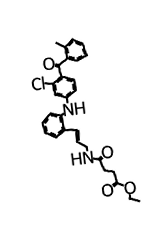 CCOC(=O)CCC(=O)NC/C=C/c1ccccc1Nc1ccc(C(=O)c2ccccc2C)c(Cl)c1